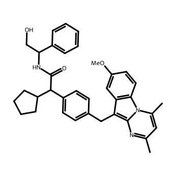 COc1ccc2c(c1)c(Cc1ccc(C(C(=O)NC(CO)c3ccccc3)C3CCCC3)cc1)c1nc(C)cc(C)n12